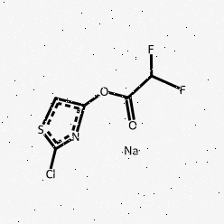 O=C(Oc1csc(Cl)n1)C(F)F.[Na]